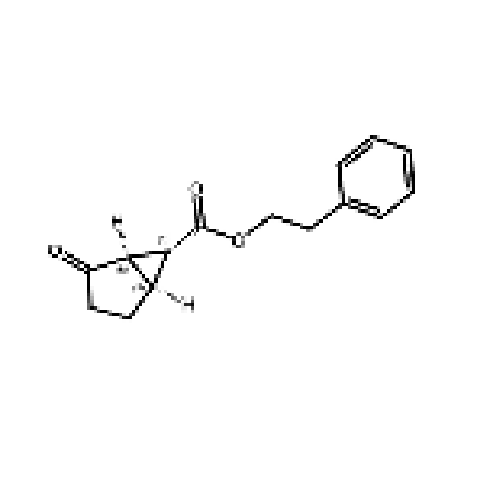 O=C1CC[C@H]2[C@@H]1[C@@H]2C(=O)OCCc1ccccc1